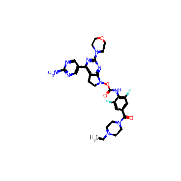 CCN1CCN(C(=O)c2cc(F)c(NC(=O)ON3CCc4c(-c5cnc(N)nc5)nc(N5CCOCC5)nc43)c(F)c2)CC1